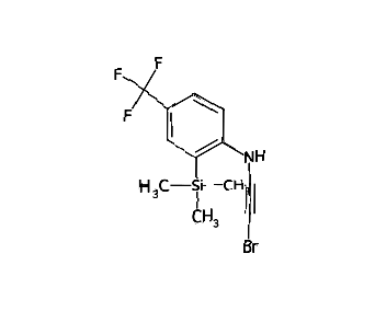 C[Si](C)(C)c1cc(C(F)(F)F)ccc1NC#CBr